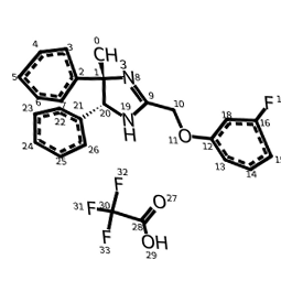 C[C@@]1(c2ccccc2)N=C(COc2cccc(F)c2)N[C@@H]1c1ccccc1.O=C(O)C(F)(F)F